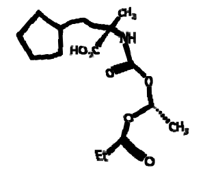 CCC(=O)O[C@@H](C)OC(=O)N[C@@](C)(CC1CCCC1)C(=O)O